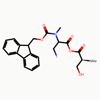 CN[C@@H](CO)C(=O)OC(=O)C(CI)N(C)C(=O)OCC1c2ccccc2-c2ccccc21